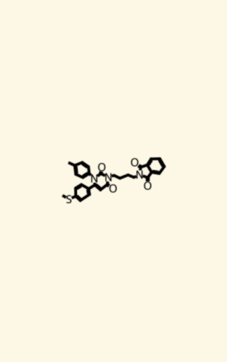 CSc1ccc(-c2cc(=O)n(CCCCN3C(=O)c4ccccc4C3=O)c(=O)n2-c2ccc(C)cc2)cc1